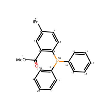 COC(=O)c1cc(C(C)C)ccc1P(c1ccccc1)c1ccccc1